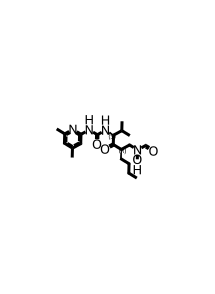 CCCC[C@H](CN(O)C=O)C(=O)[C@@H](NC(=O)Nc1cc(C)cc(C)n1)C(C)C